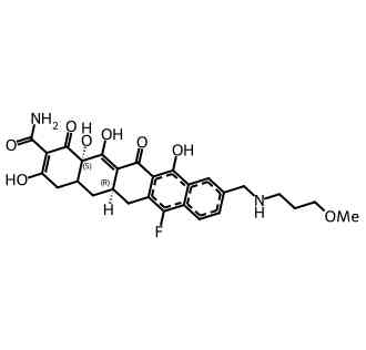 COCCCNCc1ccc2c(F)c3c(c(O)c2c1)C(=O)C1=C(O)[C@]2(O)C(=O)C(C(N)=O)=C(O)CC2C[C@@H]1C3